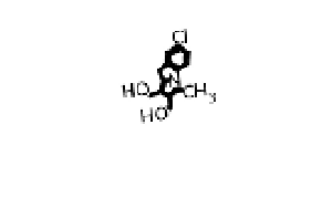 Cc1c(CO)c(CO)c2n1-c1ccc(Cl)cc1C2